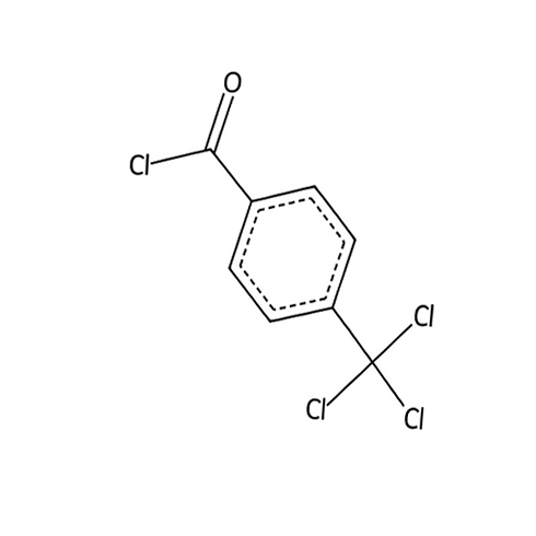 O=C(Cl)c1ccc(C(Cl)(Cl)Cl)cc1